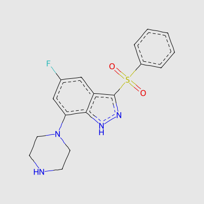 O=S(=O)(c1ccccc1)c1n[nH]c2c(N3CCNCC3)cc(F)cc12